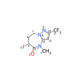 CN1C(=O)C(I)CCn2nc(C(F)(F)F)cc21